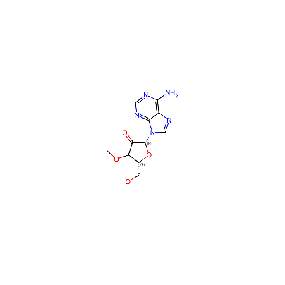 COC[C@H]1O[C@@H](n2cnc3c(N)ncnc32)C(=O)C1OC